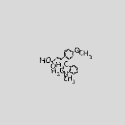 COc1ccc(C=CC(=O)O)cc1.Cc1ccccc1N(C)C